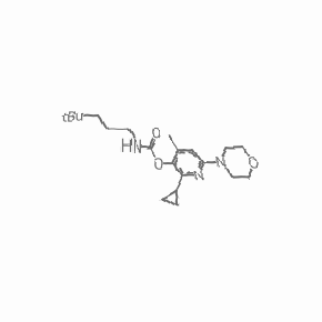 Cc1cc(N2CCOCC2)nc(C2CC2)c1OC(=O)NCCCC(C)(C)C